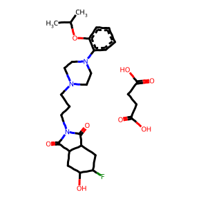 CC(C)Oc1ccccc1N1CCN(CCCN2C(=O)C3CC(O)C(F)CC3C2=O)CC1.O=C(O)CCC(=O)O